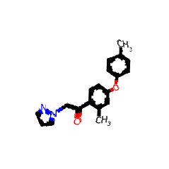 Cc1ccc(Oc2ccc(C(=O)Cn3cccn3)c(C)c2)cc1